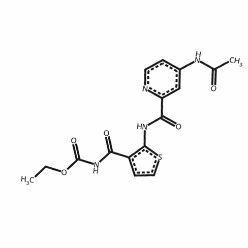 CCOC(=O)NC(=O)c1ccsc1NC(=O)c1cc(NC(C)=O)ccn1